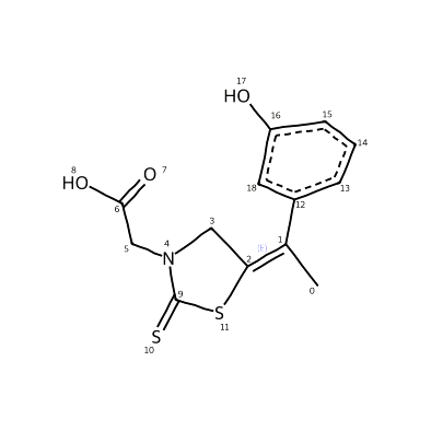 C/C(=C1/CN(CC(=O)O)C(=S)S1)c1cccc(O)c1